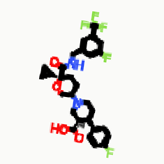 O=C(O)[C@H]1CN(C2CC[C@@](C(=O)NCc3cc(F)cc(C(F)(F)F)c3)(C3CC3)OC2)CCC1c1ccc(F)cc1